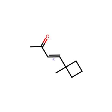 CC(=O)/C=C/C1(C)CCC1